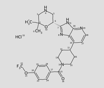 CC1(C)CNC[C@H](c2nc3c(C4CCN(C(=O)c5ccc(OC(F)(F)F)cc5)CC4)ccnc3[nH]2)O1.Cl